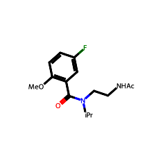 COc1ccc(F)cc1C(=O)N(CCNC(C)=O)C(C)C